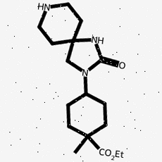 CCOC(=O)C1(C)CCC(N2CC3(CCNCC3)NC2=O)CC1